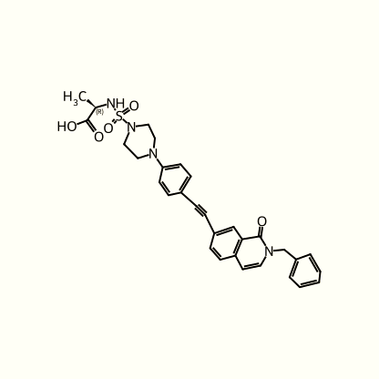 C[C@@H](NS(=O)(=O)N1CCN(c2ccc(C#Cc3ccc4ccn(Cc5ccccc5)c(=O)c4c3)cc2)CC1)C(=O)O